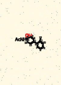 CC(=O)NC1(O)C=CC(c2ccccc2C)=CC1